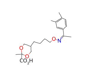 C/C(=N/OCCCCC1COC(C)(C(=O)O)OC1)c1ccc(C)c(C)c1